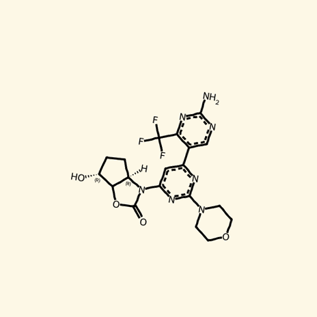 Nc1ncc(-c2cc(N3C(=O)OC4[C@H](O)CC[C@H]43)nc(N3CCOCC3)n2)c(C(F)(F)F)n1